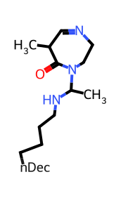 CCCCCCCCCCCCCCNC(C)N1CCN=CC(C)C1=O